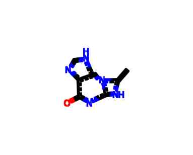 C=c1[nH]c2nc(=O)c3nc[nH]c3n12